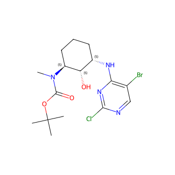 CN(C(=O)OC(C)(C)C)[C@H]1CCC[C@H](Nc2nc(Cl)ncc2Br)[C@@H]1O